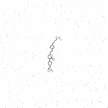 CCCCCC1CCC(CCC2CCC(C3CCC(CCC)CC3)C(=O)O2)CC1